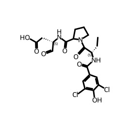 CC[C@H](NC(=O)c1cc(Cl)c(O)c(Cl)c1)C(=O)N1CCCC1C(=O)N[C@H](C=O)CC(=O)O